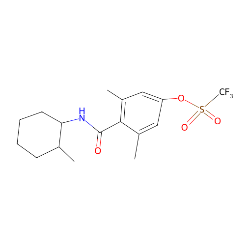 Cc1cc(OS(=O)(=O)C(F)(F)F)cc(C)c1C(=O)NC1CCCCC1C